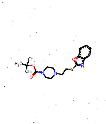 CC(C)(C)OC(=O)N1CCN(CCSc2nc3ccccc3o2)CC1